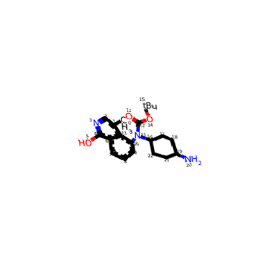 Cc1cnc(O)c2cccc(N(C(=O)OC(C)(C)C)C3CCC(N)CC3)c12